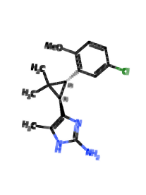 COc1ccc(Cl)cc1[C@@H]1[C@@H](c2nc(N)[nH]c2C)C1(C)C